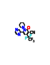 N#Cc1c(C(F)(F)C(F)(F)F)cc(-c2cnccn2)n(N2CCCCC2)c1=O